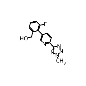 Cn1nnc(-c2ccc(-c3c(F)cccc3[CH]O)cn2)n1